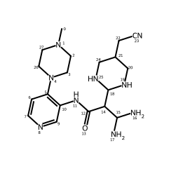 CN1CCN(c2ccncc2NC(=O)C(C(N)N)C2NCC(CC#N)CN2)CC1